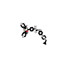 O=C(Nc1ccc(-c2nc(N3C4COCC3C(F)(F)C4)nc(N3C4COCC3C(F)(F)C4)n2)cc1)Nc1ccc(N2CCN(CC3CC3)CC2)cc1